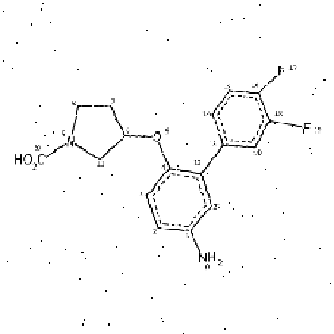 Nc1ccc(OC2CCN(C(=O)O)C2)c(-c2ccc(F)c(F)c2)c1